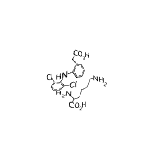 NCCCCC(N)C(=O)O.O=C(O)Cc1ccccc1Nc1c(Cl)cccc1Cl